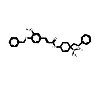 COc1cc(/C=C/C(=O)NC2CCC(CCc3ccccc3)(N(C)C)CC2)ccc1OCc1ccccc1